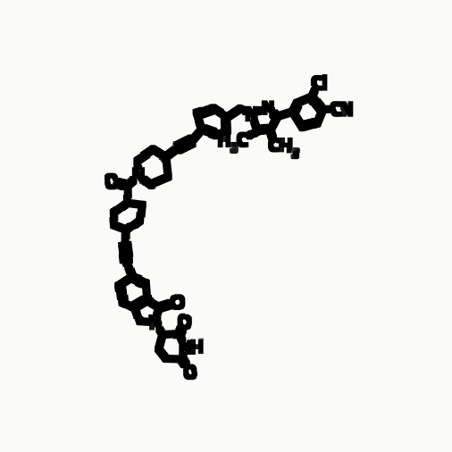 Cc1c(-c2ccc(C#N)c(Cl)c2)nn(Cc2ccc(C#CC3CCN(C(=O)C4CCC(C#Cc5ccc6c(c5)C(=O)N(C5CCC(=O)NC5=O)C6)CC4)CC3)cc2)c1C